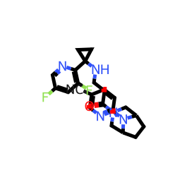 N#Cc1ccc(N2C3CCC2CN(C(=O)CCNC2(c4ncc(F)cc4F)CC2)C3)nc1